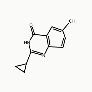 Cc1ccc2nc(C3CC3)[nH]c(=O)c2c1